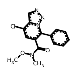 CON(C)C(=O)c1cc(Cl)c2cnnn2c1-c1ccccc1